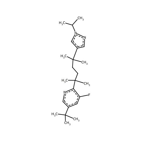 CC(C)n1cc(C(C)(C)CCC(C)(C)c2ncc(C(C)(C)C)cc2F)cn1